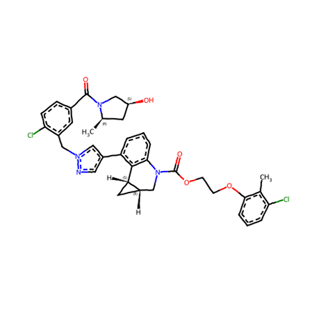 Cc1c(Cl)cccc1OCCOC(=O)N1C[C@@H]2C[C@@H]2c2c(-c3cnn(Cc4cc(C(=O)N5C[C@@H](O)C[C@H]5C)ccc4Cl)c3)cccc21